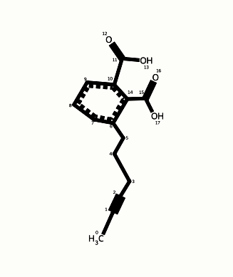 CC#CCCCc1cccc(C(=O)O)c1C(=O)O